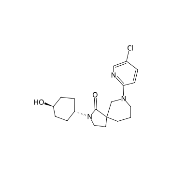 O=C1N([C@H]2CC[C@H](O)CC2)CCC12CCCN(c1ccc(Cl)cn1)C2